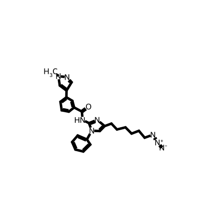 Cn1cc(-c2cccc(C(=O)Nc3nc(CCCCCCN=[N+]=[N-])cn3-c3ccccc3)c2)cn1